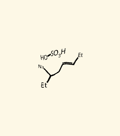 CCC=CC[CH]([Na])CC.O=S(=O)(O)O